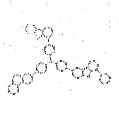 c1ccc(-c2cccc3c2oc2ccc(-c4ccc(N(c5ccc(-c6ccc7c(ccc8ccccc87)c6)cc5)c5ccc(-c6cccc7c6sc6ccccc67)cc5)cc4)cc23)cc1